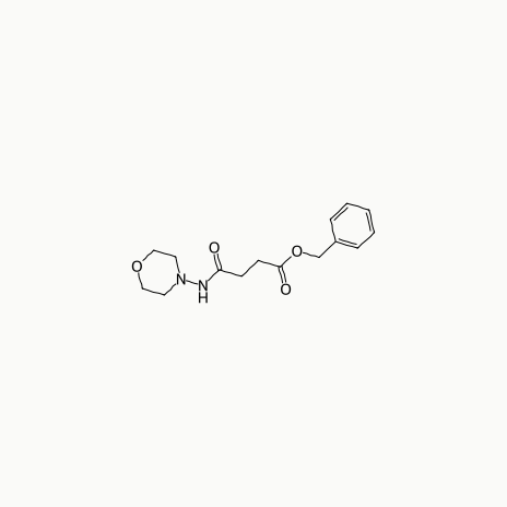 O=C(CCC(=O)OCc1ccccc1)NN1CCOCC1